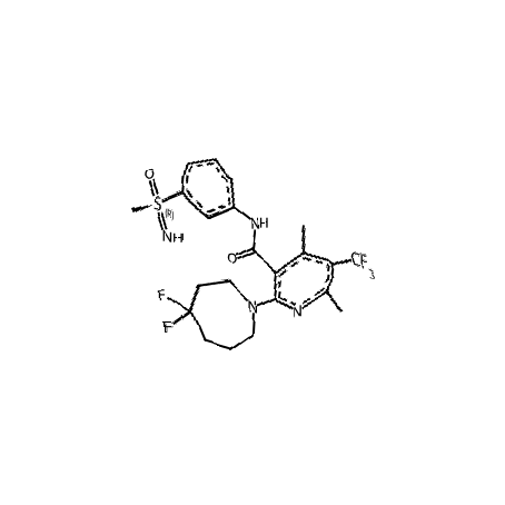 Cc1nc(N2CCCC(F)(F)CC2)c(C(=O)Nc2cccc([S@](C)(=N)=O)c2)c(C)c1C(F)(F)F